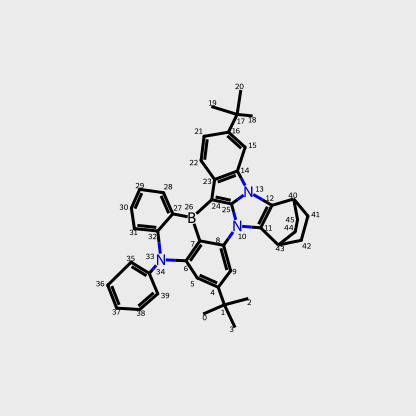 CC(C)(C)c1cc2c3c(c1)-n1c4c(n5c6cc(C(C)(C)C)ccc6c(c15)B3c1ccccc1N2c1ccccc1)C1CCC4CC1